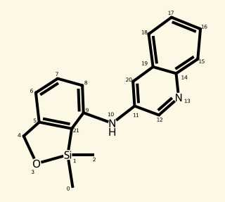 C[Si]1(C)OCc2cccc(Nc3cnc4ccccc4c3)c21